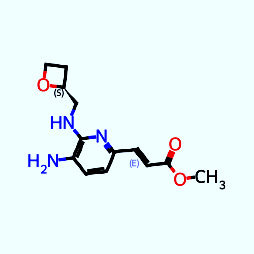 COC(=O)/C=C/c1ccc(N)c(NC[C@@H]2CCO2)n1